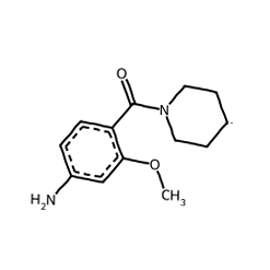 COc1cc(N)ccc1C(=O)N1CC[CH]CC1